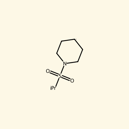 CC(C)S(=O)(=O)N1CC[CH]CC1